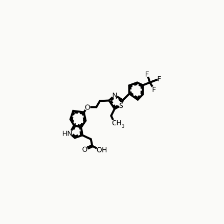 CCc1sc(-c2ccc(C(F)(F)F)cc2)nc1CCOc1ccc2[nH]cc(CC(=O)O)c2c1